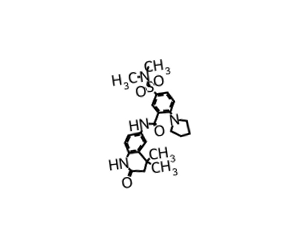 CN(C)S(=O)(=O)c1ccc(N2CCCC2)c(C(=O)Nc2ccc3c(c2)C(C)(C)CC(=O)N3)c1